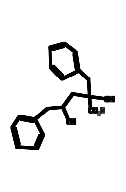 O=C(O)C(O)(Cc1ccccc1)CC(O)Cc1ccccc1